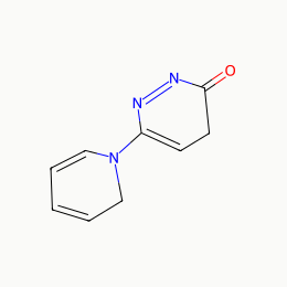 O=C1CC=C(N2C=CC=CC2)N=N1